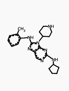 Cc1ccccc1Nc1nc2cnc(NC3CCCC3)nc2n1C1CCNCC1